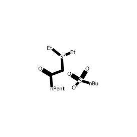 CCCCCC(=O)C[S+](CC)CC.CCCCS(=O)(=O)[O-]